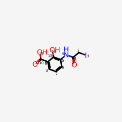 O=C(CI)Nc1cccc(C(=O)O)c1O